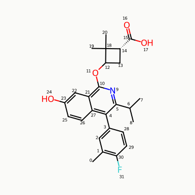 Cc1cc(-c2c(C(C)C)nc(OC3C[C@@H](C(=O)O)C3(C)C)c3cc(O)ccc23)ccc1F